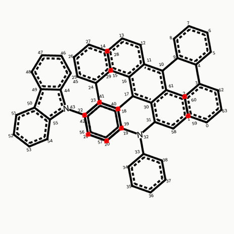 c1ccc(-c2ccccc2-c2c3ccccc3c(-c3ccccc3-c3ccccc3)c3c(N(c4ccccc4)c4ccc(-n5c6ccccc6c6ccccc65)cc4)cccc23)cc1